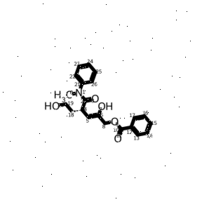 CN(C(=O)[C@H](C=C(O)COC(=O)c1ccccc1)CCO)c1ccccc1